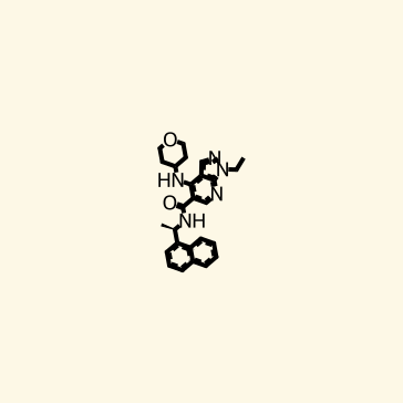 CCn1ncc2c(NC3CCOCC3)c(C(=O)N[C@H](C)c3cccc4ccccc34)cnc21